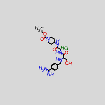 CCOC(=O)N1CCC(NC(=O)CNC(=O)C(CO)NCc2ccc(C(=N)N)cc2)CC1.Cl